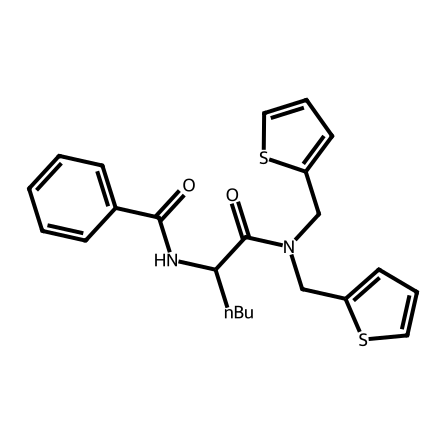 [CH2]CCCC(NC(=O)c1ccccc1)C(=O)N(Cc1cccs1)Cc1cccs1